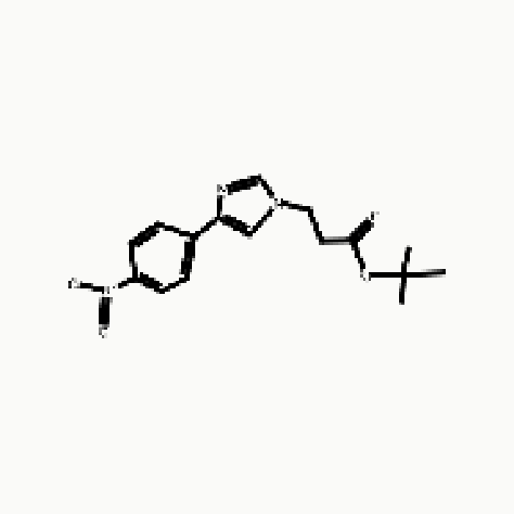 CC(C)(C)OC(=O)CCn1cnc(-c2ccc([N+](=O)[O-])cc2)c1